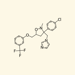 CN1OC(COc2cccc(C(F)(F)F)c2)CC1(Cn1ccnc1)c1ccc(Cl)cc1